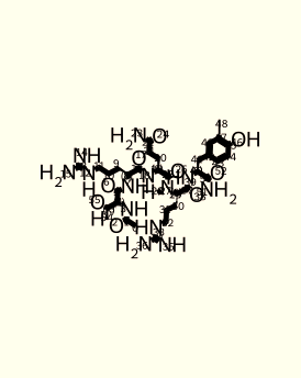 CC(=O)N[C@H](C(=O)N[C@@H](CCCNC(=N)N)C(=O)N[C@@H](CCC(N)=O)C(=O)N(C)[C@@H](CCCNC(=N)N)C(=O)N[C@@H](Cc1ccc(O)c(I)c1)C(N)=O)[C@@H](C)O